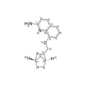 Nc1ccc2cccc(OCC3C[C@H]4CC[C@H]3C4)c2n1